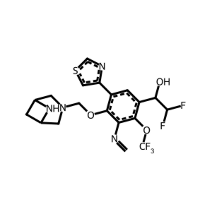 C=Nc1c(OCN2CC3CC(C2)N3)c(-c2cscn2)cc(C(O)C(F)F)c1OC(F)(F)F